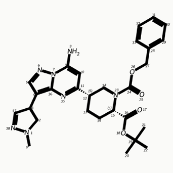 CN1CC(c2cnn3c(N)cc([C@H]4CC[C@@H](C(=O)OC(C)(C)C)N(C(=O)OCc5ccccc5)C4)nc23)C=N1